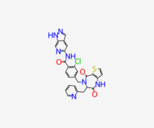 O=C(Nc1cc2cn[nH]c2cn1)c1ccc(CN2C(=O)c3sccc3NC(=O)C2Cc2ccccn2)cc1Cl